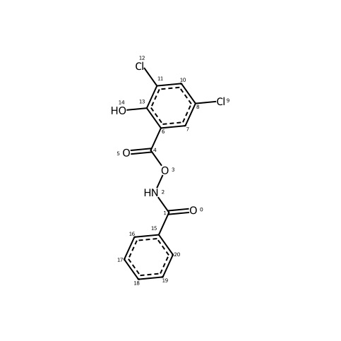 O=C(NOC(=O)c1cc(Cl)cc(Cl)c1O)c1ccccc1